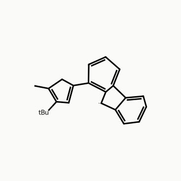 CC1=C(C(C)(C)C)C=C(c2cccc3c2[CH]c2ccccc2-3)C1